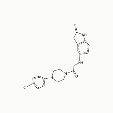 O=C1Cc2cc(NCC(=O)N3CCN(c4ccc(Cl)cc4)CC3)ccc2N1